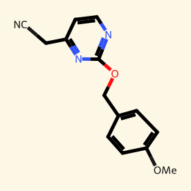 COc1ccc(COc2nccc(CC#N)n2)cc1